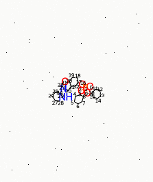 O=P(OC1CCCCC1)(OC1CCCCC1)OC1CCC2OCN(C3CCCCN3)CC2C1